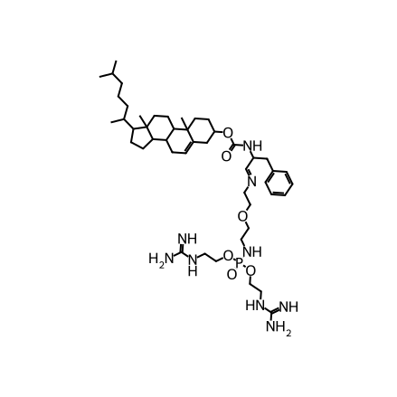 CC(C)CCCC(C)C1CCC2C3CC=C4CC(OC(=O)NC(/C=N/CCOCCNP(=O)(OCCNC(=N)N)OCCNC(=N)N)Cc5ccccc5)CCC4(C)C3CCC12C